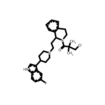 CC(C)(CCl)C(=O)N1CCc2ccccc2C1CCN1CCC(c2c[nH]c3ccc(F)cc23)CC1